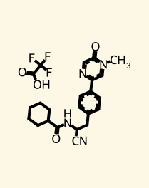 Cn1cc(-c2ccc(CC(C#N)NC(=O)C3CCCCC3)cc2)ncc1=O.O=C(O)C(F)(F)F